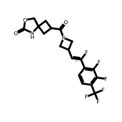 O=C1NC2(CO1)CC(C(=O)N1CC(/C=C(\F)c3ccc(C(F)(F)F)c(F)c3F)C1)C2